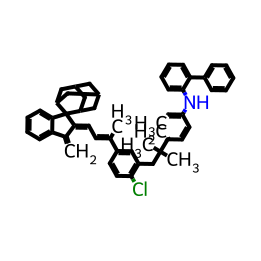 C=C1/C(=C\C=C(/C)c2ccc(Cl)c(CC(C)(C)C(=C)/C=C\C(=C/C)Nc3ccccc3-c3ccccc3)c2)C2(c3ccccc31)C1CC3CC(C1)CC2C3